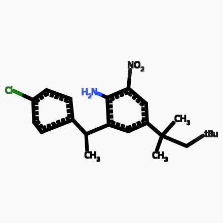 CC(c1ccc(Cl)cc1)c1cc(C(C)(C)CC(C)(C)C)cc([N+](=O)[O-])c1N